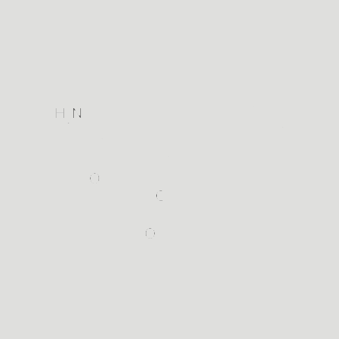 NC(=O)CC(=C=O)c1ccccc1